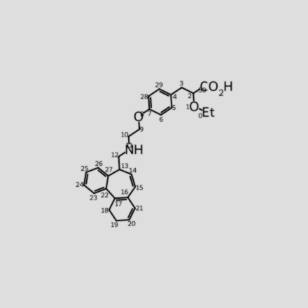 CCOC(Cc1ccc(OCCNCC2C=CC3=C(CCC=C3)c3ccccc32)cc1)C(=O)O